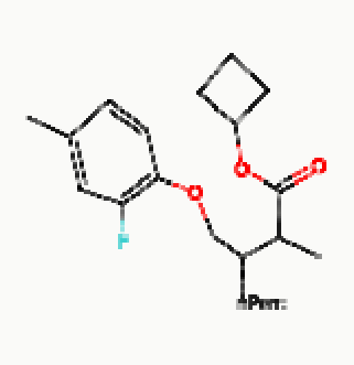 CCCCCC(COc1ccc(C)cc1F)C(C)C(=O)OC1CCC1